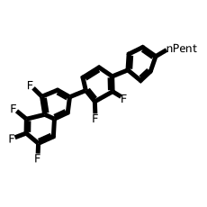 CCCCCc1ccc(-c2ccc(-c3cc(F)c4c(F)c(F)c(F)cc4c3)c(F)c2F)cc1